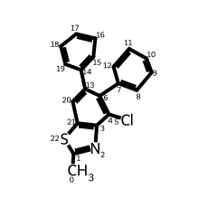 Cc1nc2c(Cl)c(-c3ccccc3)c(-c3ccccc3)cc2s1